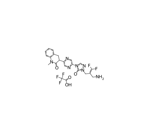 CN1C(=O)C(c2cnc(-n3cnn(CC(CN)=C(F)F)c3=O)cn2)Cc2ccccc21.O=C(O)C(F)(F)F